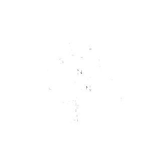 CCCCC(CC1=CC=CC(=S)C1)C1=NC(c2ccccc2)=C(c2ccccc2)[N]1